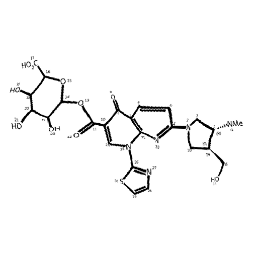 CN[C@H]1CN(c2ccc3c(=O)c(C(=O)OC4OC(C(=O)O)C(O)C(O)C4O)cn(-c4nccs4)c3n2)C[C@@H]1CO